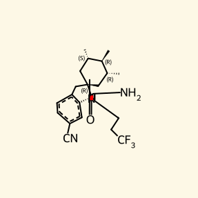 C[C@H]1[C@H](C)C[C@@]2(Cc3ccc(C#N)cc3[C@]23N=C(N)N(CCC(F)(F)F)C3=O)C[C@@H]1C